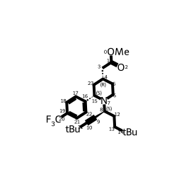 COC(=O)C[C@@H]1CCN([C@H](C#CC(C)(C)C)CCC(C)(C)C)[C@H](c2ccc(C(F)(F)F)cc2)C1